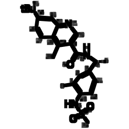 Cc1cc([C@@H](C)NC(=O)c2cnc3cc(C(C)(C)C)ccc3c2C)ccc1NS(C)(=O)=O